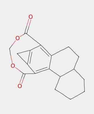 O=C1OCOC(=O)c2c3c(c1c1c2C2CCCCC2CC1)C3